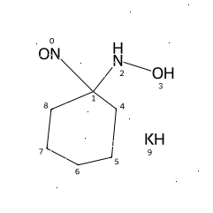 O=NC1(NO)CCCCC1.[KH]